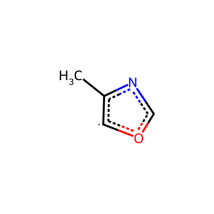 Cc1[c]ocn1